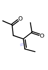 C/C=C(/CC(C)=O)C(C)=O